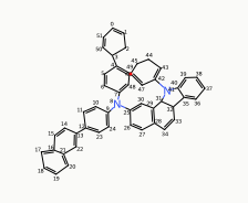 C1=CCC(c2ccc(N(c3ccc(-c4ccc5ccccc5c4)cc3)c3ccc4c(c3)C3C(C=C4)c4ccccc4N3C3=CCCC=C3)cc2)C=C1